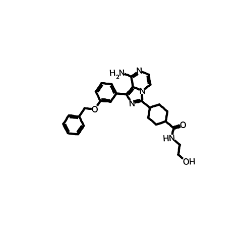 Nc1nccn2c(C3CCC(C(=O)NCCO)CC3)nc(-c3cccc(OCc4ccccc4)c3)c12